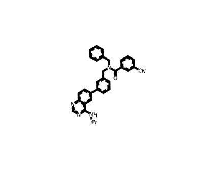 CC(C)Nc1ncnc2ccc(-c3cccc(CN(Cc4ccccc4)C(=O)c4cccc(C#N)c4)c3)cc12